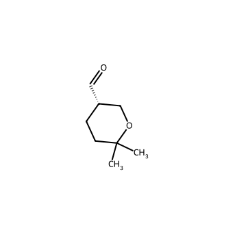 CC1(C)CC[C@H](C=O)CO1